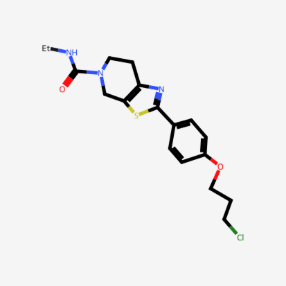 CCNC(=O)N1CCc2nc(-c3ccc(OCCCCl)cc3)sc2C1